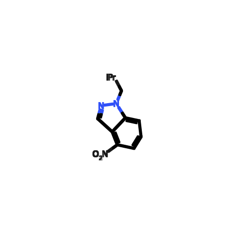 CC(C)Cn1ncc2c([N+](=O)[O-])cccc21